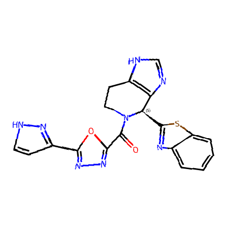 O=C(c1nnc(-c2cc[nH]n2)o1)N1CCc2[nH]cnc2[C@H]1c1nc2ccccc2s1